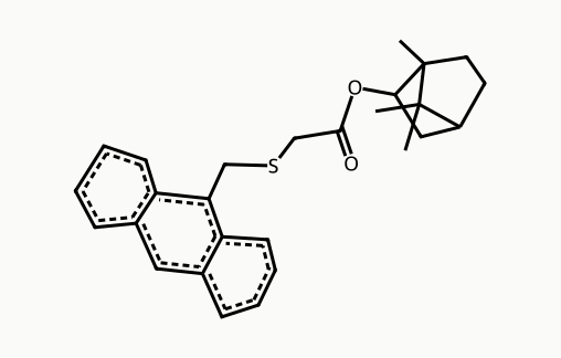 CC1(C)C2CCC1(C)C(OC(=O)CSCc1c3ccccc3cc3ccccc13)C2